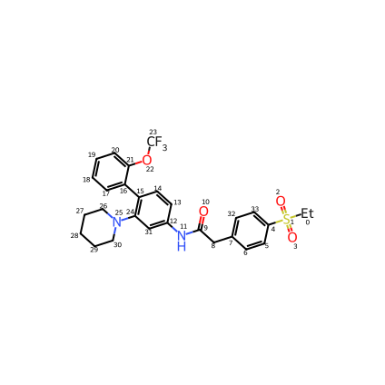 CCS(=O)(=O)c1ccc(CC(=O)Nc2ccc(-c3ccccc3OC(F)(F)F)c(N3CCCCC3)c2)cc1